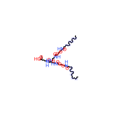 CC/C=C\C/C=C\C/C=C\C/C=C\C/C=C\C/C=C\CCC(=O)NCCOCCOCC(=O)NCCCC[C@@H](CC(=O)NCCCCC(CO)COC)NC(=O)CCCNC(=O)COCCOCCNC(=O)CC/C=C\C/C=C\C/C=C\C/C=C\C/C=C\C/C=C\CC